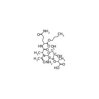 CCCCOC(=O)C(CCC(N)=O)NC(=O)C(C)N(C(C)=O)C1O[C@H](CO)[C@@H](O)[C@H](OC(C)C(=O)O)[C@H]1N